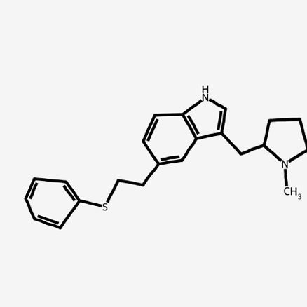 CN1CCCC1Cc1c[nH]c2ccc(CCSc3ccccc3)cc12